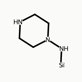 [Si]NN1CCNCC1